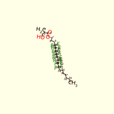 C=C(CO)C(=O)OCCCC(F)(F)C(F)(F)C(F)(F)C(F)(F)C(F)(F)C(F)(F)C(F)(F)C(F)(F)CCCCCCC